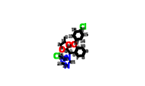 CC1COC(C(c2ccccc2Oc2ccc(Cl)cc2)N2CN=CN2Cl)O1